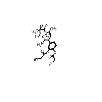 CCC(C)(C)C(=O)OC(C)CC(c1ccc(OC(=O)CC(C)C)c(OC(=O)CC(C)C)c1)[C@H](N)C(=O)O